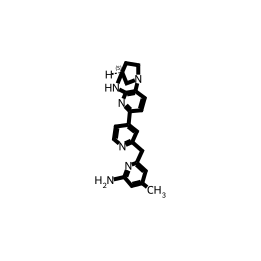 Cc1cc(N)nc(Cc2cc(-c3ccc4c(n3)N[C@H]3CCN4C3)ccn2)c1